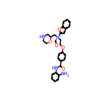 Nc1ccccc1NC(=O)c1ccc(OCC[N+](C=O)(CC2CNCCO2)c2cc3ccccc3o2)cc1